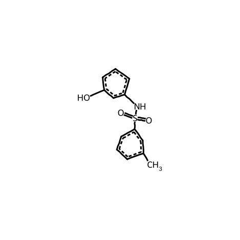 Cc1cccc(S(=O)(=O)Nc2cccc(O)c2)c1